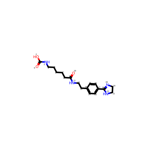 O=C(O)NCCCCCC(=O)NCCc1ccc(C2=NCCN2)cc1